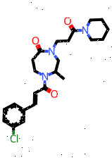 CC1CN(CCC(=O)N2CCCCC2)C(=O)CCN1C(=O)C=Cc1cccc(Cl)c1